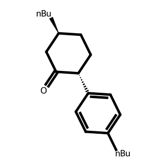 CCCCc1ccc([C@H]2CC[C@H](CCCC)CC2=O)cc1